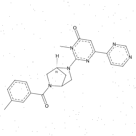 Cc1cccc(C(=O)N2C[C@@H]3CC2CN3c2nc(-c3ccncn3)cc(=O)n2C)c1